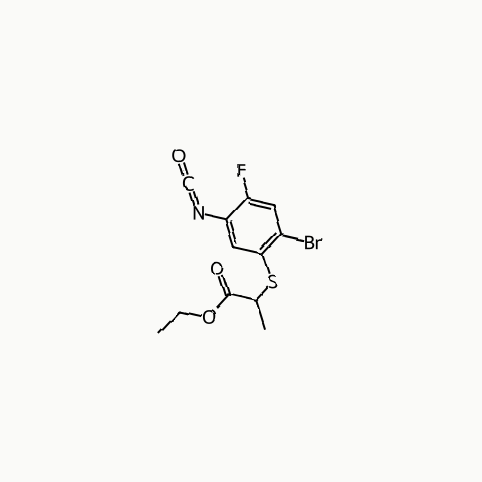 CCOC(=O)C(C)Sc1cc(N=C=O)c(F)cc1Br